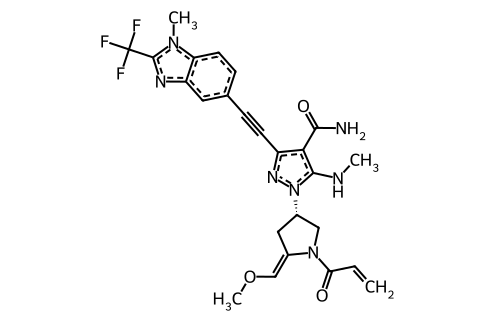 C=CC(=O)N1C[C@@H](n2nc(C#Cc3ccc4c(c3)nc(C(F)(F)F)n4C)c(C(N)=O)c2NC)C/C1=C\OC